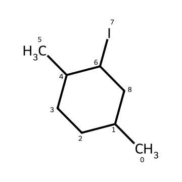 CC1CCC(C)C(I)C1